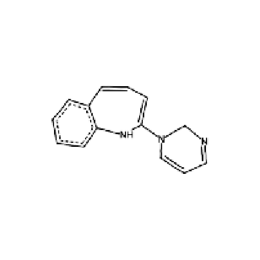 C1=Cc2ccccc2NC(N2C=CC=NC2)=C1